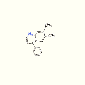 Cc1cc2nccc(-c3ccccc3)c2cc1C